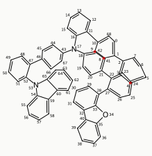 C1=C(c2ccccc2)CCC(c2ccccc2N(c2ccc(-c3ccccc3-c3cccc4c3oc3ccccc34)cc2)c2ccc(-c3ccccc3-n3c4ccccc4c4ccccc43)cc2)=C1